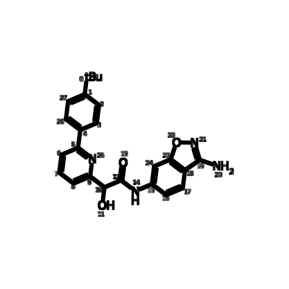 CC(C)(C)c1ccc(-c2cccc(C(O)C(=O)Nc3ccc4c(N)noc4c3)n2)cc1